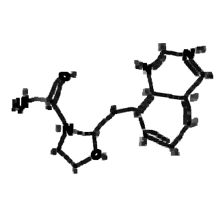 NC(=O)N1CCOC1Cc1cccc2cncnc12